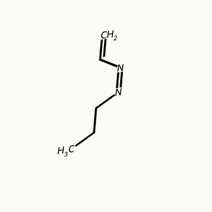 C=C/N=N\CCC